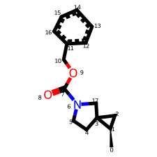 C[C@@H]1CC12CCN(C(=O)OCc1ccccc1)C2